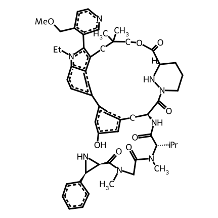 CCn1c(-c2cnccc2COC)c2c3cc(ccc31)-c1cc(O)cc(c1)C[C@H](NC(=O)[C@H](C(C)C)N(C)C(=O)CN(C)C(=O)[C@@H]1N[C@@H]1c1ccccc1)C(=O)N1CCC[C@H](N1)C(=O)OCC(C)(C)C2